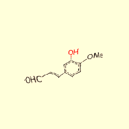 COc1ccc(/C=C/[C]=O)cc1O